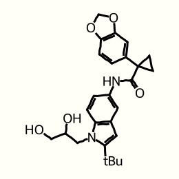 CC(C)(C)c1cc2cc(NC(=O)C3(c4ccc5c(c4)OCO5)CC3)ccc2n1CC(O)CO